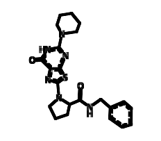 O=C(NCc1ccccc1)C1CCCN1c1nc2c(=O)[nH]c(N3CCCCC3)nc2s1